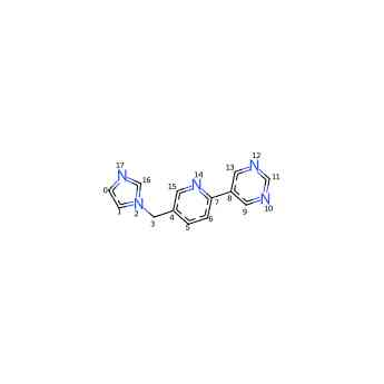 c1cn(Cc2ccc(-c3cncnc3)nc2)cn1